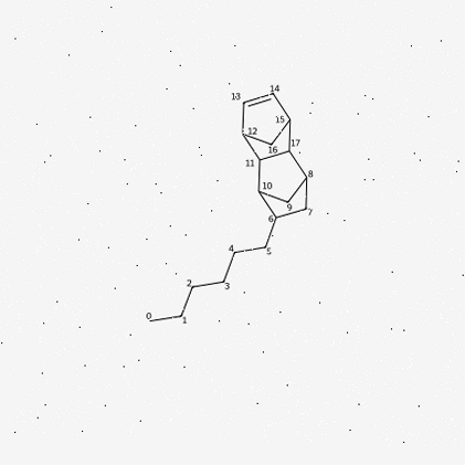 CCCCCCC1CC2CC1C1C3C=CC(C3)C21